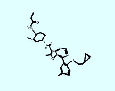 CCC(=O)N[C@H]1CC[C@H](NC(=O)c2c(C)[nH]c3c(-c4cc(C)ccc4OCC4CC4)ncnc23)C[C@H]1C